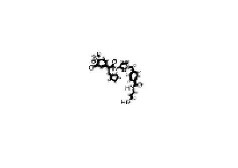 CS(=O)(=O)c1ccc(C(CC2CCCC2)C(=O)Nc2ccn(Cc3ccc(C(=O)NCCCO)cc3)n2)cc1Cl